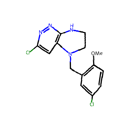 COc1ccc(Cl)cc1CN1CCNc2nnc(Cl)cc21